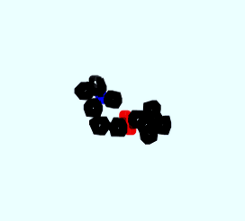 c1ccc(N(c2cccc(-c3cccc(-c4ccc5c(c4)Oc4ccc6c(c4O5)-c4ccccc4C64c5ccccc5-c5ccccc54)c3)c2)c2cccc3ccccc23)cc1